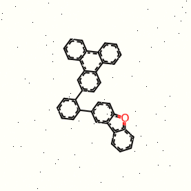 c1ccc(-c2ccc3c4ccccc4c4ccccc4c3c2)c(-c2ccc3oc4ccccc4c3c2)c1